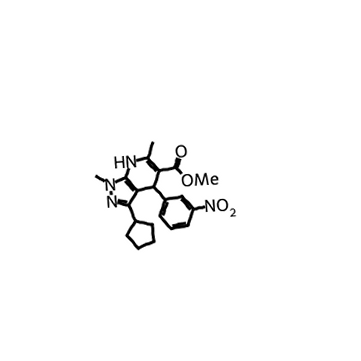 COC(=O)C1=C(C)Nc2c(c(C3CCCC3)nn2C)C1c1cccc([N+](=O)[O-])c1